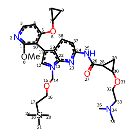 COc1nccc(OC2CC2)c1-c1cn(COCC[Si](C)(C)C)c2nc(NC(=O)C3CC3OCCN(C)C)ccc12